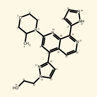 CC1COCCN1c1cc(-c2ccn(CCO)n2)c2ccnc(-c3ccn[nH]3)c2n1